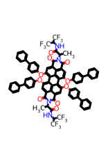 CC(C(=O)NC(C(F)(F)F)C(F)(F)F)N1C(=O)c2cc(Oc3ccc(-c4ccccc4)cc3)c3c4c(Oc5ccc(-c6ccccc6)cc5)cc5c6c(cc(Oc7ccc(-c8ccccc8)cc7)c(c7c(Oc8ccc(-c9ccccc9)cc8)cc(c2c37)C1=O)c64)C(=O)N(C(C)C(=O)NC(C(F)(F)F)C(F)(F)F)C5=O